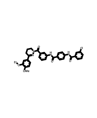 CCOc1cc(C2=NN(C(=O)c3cccc(NC(=O)c4ccc(NC(=O)c5cccc(Cl)c5)cc4)c3)CCC2)ccc1OC